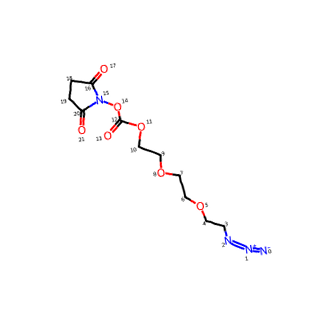 [N-]=[N+]=NCCOCCOCCOC(=O)ON1C(=O)CCC1=O